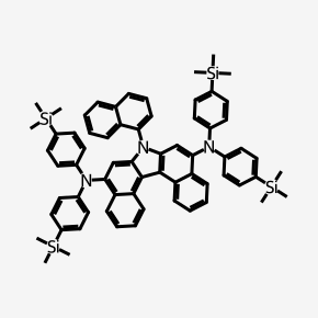 C[Si](C)(C)c1ccc(N(c2ccc([Si](C)(C)C)cc2)c2cc3c(c4ccccc24)c2c4ccccc4c(N(c4ccc([Si](C)(C)C)cc4)c4ccc([Si](C)(C)C)cc4)cc2n3-c2cccc3ccccc23)cc1